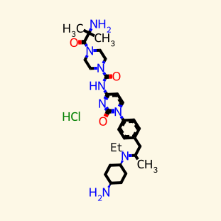 CCN(C(C)Cc1ccc(-n2ccc(NC(=O)N3CCN(C(=O)C(C)(C)N)CC3)nc2=O)cc1)[C@H]1CC[C@@H](N)CC1.Cl